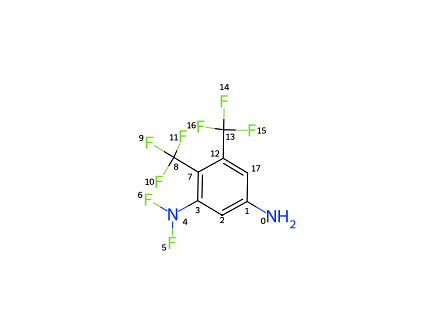 Nc1cc(N(F)F)c(C(F)(F)F)c(C(F)(F)F)c1